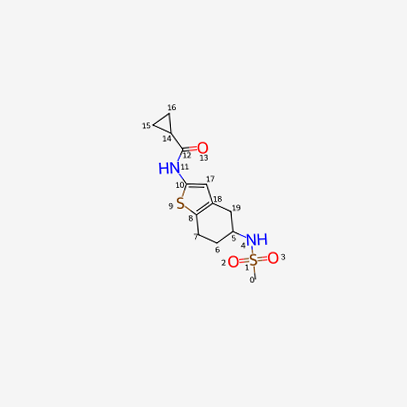 CS(=O)(=O)NC1CCc2sc(NC(=O)C3CC3)cc2C1